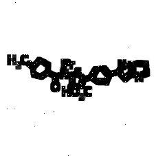 CC1CCC(C(=O)N(c2sc(-c3ccc(-c4cc5ncccn5n4)cc3)cc2C(=O)O)C(C)C)CC1